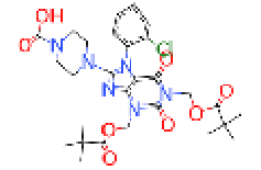 CC(C)(C)C(=O)OCn1c(=O)c2c(nc(N3CCN(C(=O)O)CC3)n2-c2ccccc2Cl)n(COC(=O)C(C)(C)C)c1=O